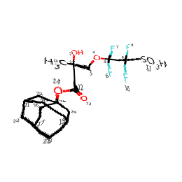 CC(O)(COC(F)(F)C(F)(F)S(=O)(=O)O)C(=O)OC12CC3CC(CC(C3)C1)C2